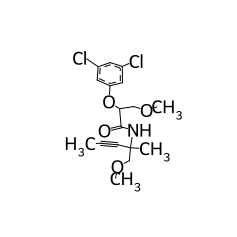 CC#CC(C)(COC)NC(=O)C(COC)Oc1cc(Cl)cc(Cl)c1